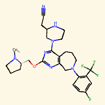 CN1CCC[C@H]1COc1nc2c(c(N3CCNC(CC#N)C3)n1)CCCN(c1ccc(F)cc1C(F)(F)F)C2